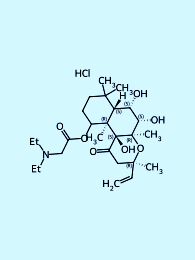 C=C[C@@]1(C)CC(=O)[C@]2(O)[C@@]3(C)C(OC(=O)CN(CC)CC)CCC(C)(C)[C@@H]3[C@H](O)[C@H](O)[C@@]2(C)O1.Cl